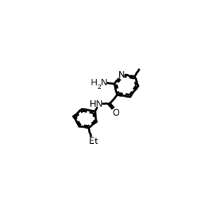 CCc1cccc(NC(=O)c2ccc(C)nc2N)c1